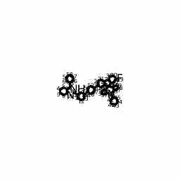 N/C(=C1/C=CC=CC1/N=C/c1cccc(-c2ccc(-c3ccc4c(c3)C3(c5cc(F)ccc5-4)c4ccccc4N(c4ccccc4)c4ccccc43)cc2)c1)c1ccccc1